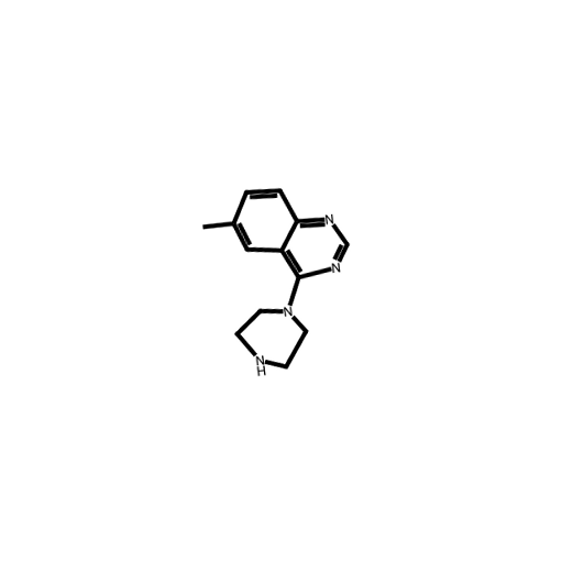 Cc1ccc2ncnc(N3CCNCC3)c2c1